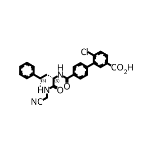 C[C@@H](C[C@H](NC(=O)c1ccc(-c2cc(C(=O)O)ccc2Cl)cc1)C(=O)NCC#N)c1ccccc1